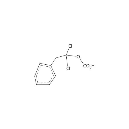 O=C(O)OC(Cl)(Cl)Cc1ccccc1